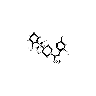 Cc1ccc(CC(C(=O)O)N2CCN(S(=O)(=O)c3ccccc3[N+](=O)[O-])[C@@H](C)C2)c(F)c1